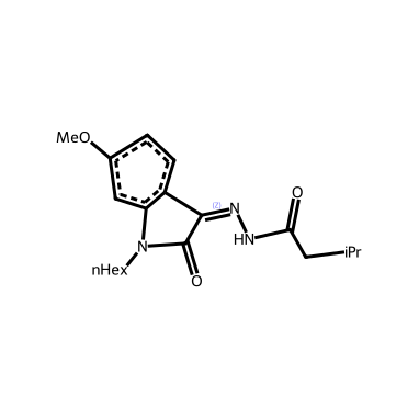 CCCCCCN1C(=O)/C(=N\NC(=O)CC(C)C)c2ccc(OC)cc21